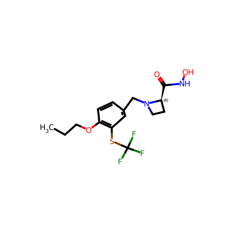 CCCOc1ccc(CN2CC[C@@H]2C(=O)NO)cc1SC(F)(F)F